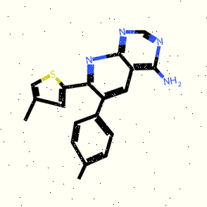 Cc1ccc(-c2cc3c(N)ncnc3nc2-c2cc(C)cs2)cc1